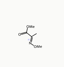 CO/N=C(\C)C(=O)OC